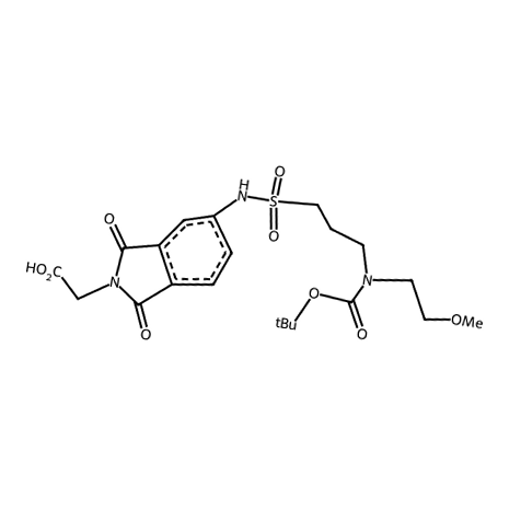 COCCN(CCCS(=O)(=O)Nc1ccc2c(c1)C(=O)N(CC(=O)O)C2=O)C(=O)OC(C)(C)C